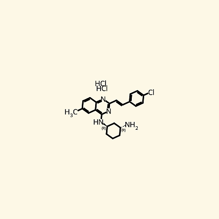 Cc1ccc2nc(C=Cc3ccc(Cl)cc3)nc(N[C@@H]3CCC[C@@H](N)C3)c2c1.Cl.Cl